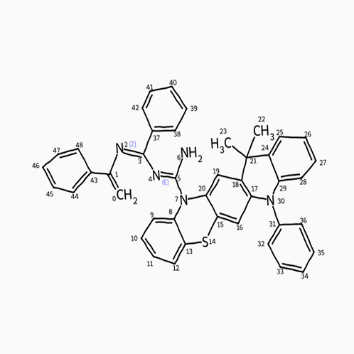 C=C(/N=C(\N=C(/N)N1c2ccccc2Sc2cc3c(cc21)C(C)(C)c1ccccc1N3c1ccccc1)c1ccccc1)c1ccccc1